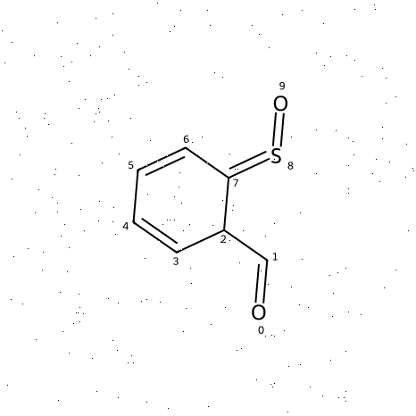 O=CC1C=CC=CC1=S=O